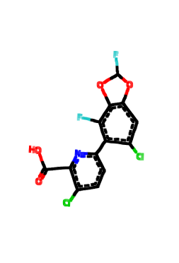 O=C(O)c1nc(-c2c(Cl)cc3c(c2F)OC(F)O3)ccc1Cl